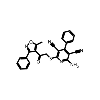 Cc1onc(-c2ccccc2)c1C(=O)CSc1nc(N)c(C#N)c(-c2ccccc2)c1C#N